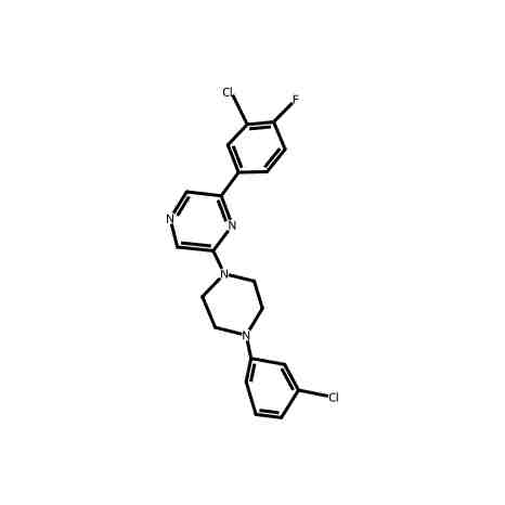 Fc1ccc(-c2cncc(N3CCN(c4cccc(Cl)c4)CC3)n2)cc1Cl